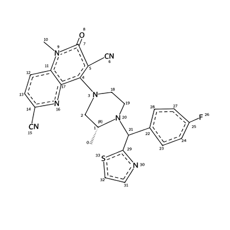 C[C@@H]1CN(c2c(C#N)c(=O)n(C)c3ccc(C#N)nc23)CCN1C(c1ccc(F)cc1)c1nccs1